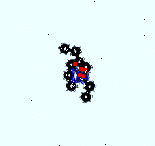 c1ccc(-c2cccc(-c3ccc(-c4ccccc4-n4c5ccccc5c5ccc6c7ccccc7n(-c7nc(-c8ccccc8)nc(-c8cccc(-c9ccccc9)c8)n7)c6c54)cc3)c2)cc1